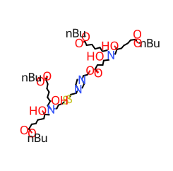 CCCCOC(=O)CCCCC(O)CN(CCCCC(=O)OCCN1CCN(CCSSCCCN(CC(O)CCCCC(=O)OCCCC)CC(O)CCCCC(=O)OCCCC)CC1)CC(O)CCCCC(=O)OCCCC